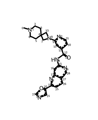 CN1CCC2(CC1)CN(c1cc(C(=O)Nc3cc4nc(-c5cnco5)ccc4cn3)ccn1)C2